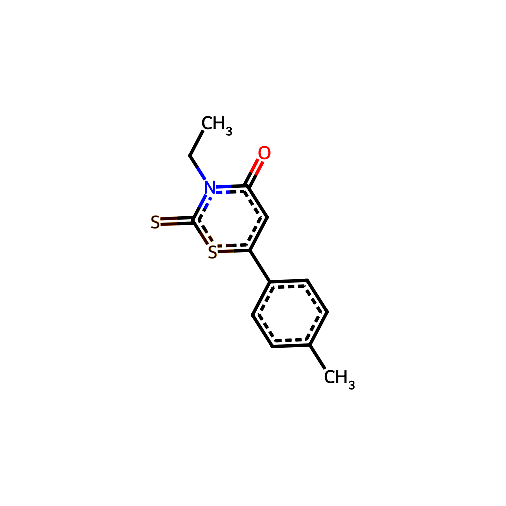 CCn1c(=O)cc(-c2ccc(C)cc2)sc1=S